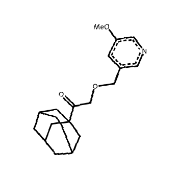 COc1cncc(COCC(=O)C23CC4CC(CC(C4)C2)C3)c1